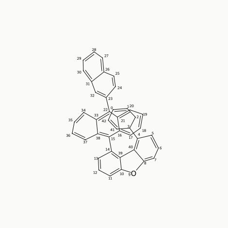 C1=CCC(c2cccc3oc4cccc(-c5c6ccccc6c(-c6ccc7ccccc7c6)c6ccccc56)c4c23)C=C1